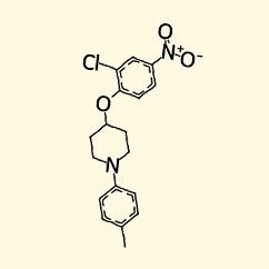 Cc1ccc(N2CCC(Oc3ccc([N+](=O)[O-])cc3Cl)CC2)cc1